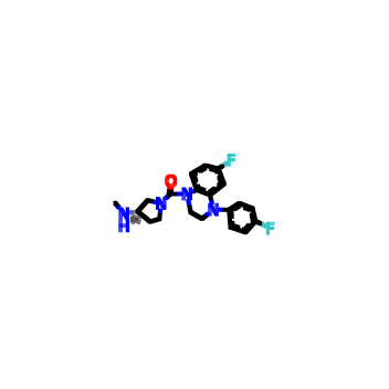 CN[C@H]1CCN(C(=O)N2CCN(c3ccc(F)cc3)c3cc(F)ccc32)C1